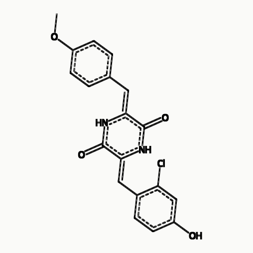 COc1ccc(C=c2[nH]c(=O)c(=Cc3ccc(O)cc3Cl)[nH]c2=O)cc1